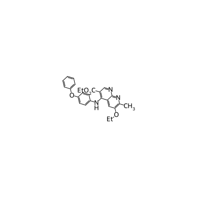 CCOC(=O)c1cnc2nc(C)c(OCC)cc2c1Nc1ccc(Oc2ccccc2)cc1